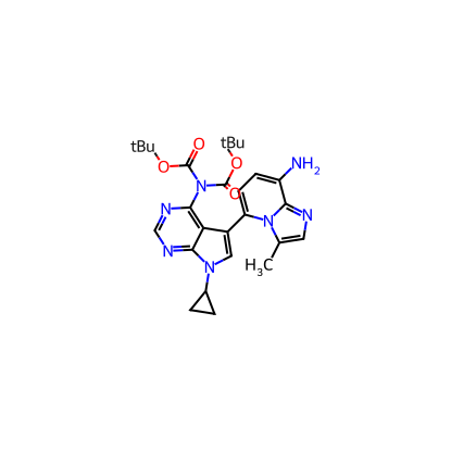 Cc1cnc2c(N)ccc(-c3cn(C4CC4)c4ncnc(N(C(=O)OC(C)(C)C)C(=O)OC(C)(C)C)c34)n12